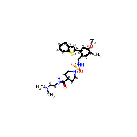 Cc1cc(CNS(=O)(=O)N2CCC(C(=O)NCCN(C)C)CC2)c(-c2cc3ccccc3s2)cc1OC(F)(F)F